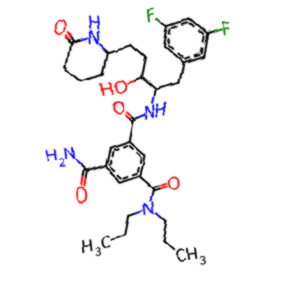 CCCN(CCC)C(=O)c1cc(C(N)=O)cc(C(=O)NC(Cc2cc(F)cc(F)c2)C(O)CCC2CCCC(=O)N2)c1